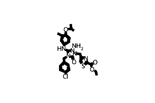 CCOC(=O)c1nc(CN2C(=O)N(Cc3ccc(Cl)cc3)C(Nc3ccc(OC(C)C)c(C)c3)N2N)cs1